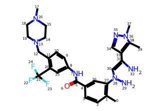 Cc1ccc(C(=O)Nc2ccc(CN3CCN(C)CC3)c(C(F)(F)F)c2)cc1N(N)/C=C(\N)c1cnn(C)c1C